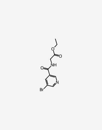 CCOC(=O)CNC(=O)c1cncc(Br)c1